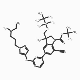 CCN(C)CCCn1cc(Nc2nccc(-c3cc(C#N)c4c(c3)C(C)(CO[Si](C)(C)C(C)(C)C)CN4C(=O)OC(C)(C)C)n2)cn1